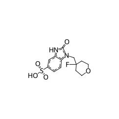 O=c1[nH]c2cc(S(=O)(=O)O)ccc2n1CC1(F)CCOCC1